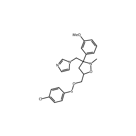 COc1cccc(C2(Cn3ccnc3)CC(COSc3ccc(Cl)cc3)ON2C)c1